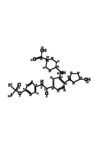 O=C(Nc1ccc(OC(F)(F)Cl)cc1)c1cnc(N2CCC(O)C2)c(NC2CCN(C(=O)O)CC2)c1